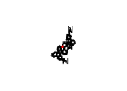 N#CC1=C(c2cccc(-n3c4c(c5ccccc53)CC(C#N)C=C4)c2)C(C2C=CC=CC2N2Cc3cc(C#N)ccc3C3=C2C=CCC3)=CCC=C1